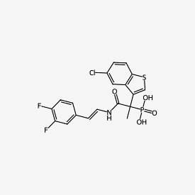 CC(C(=O)NC=Cc1ccc(F)c(F)c1)(c1csc2ccc(Cl)cc12)P(=O)(O)O